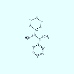 CC(c1ccccc1)N(N)C1CCCCC1